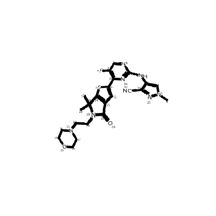 Cn1cc(Nc2ncc(F)c(-c3cc4c(s3)C(C)(C)N(CCN3CCOCC3)C4=O)n2)c(C#N)n1